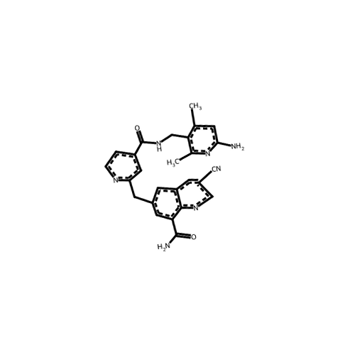 Cc1cc(N)nc(C)c1CNC(=O)c1ccnc(Cc2cc(C(N)=O)c3ncc(C#N)cc3c2)c1